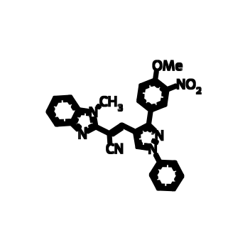 COc1ccc(-c2nn(-c3ccccc3)cc2/C=C(\C#N)c2nc3ccccc3n2C)cc1[N+](=O)[O-]